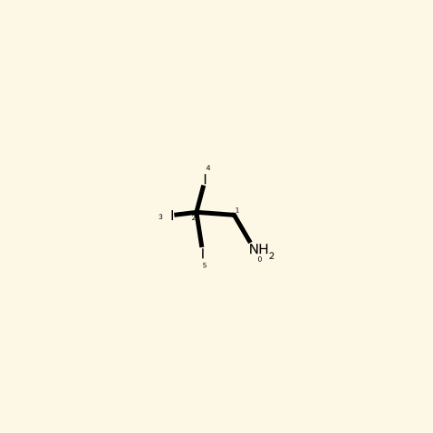 NCC(I)(I)I